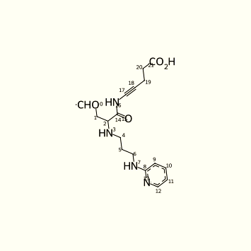 O=[C]CC(NCCCNc1ccccn1)C(=O)NC#CCCC(=O)O